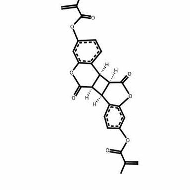 C=C(C)C(=O)Oc1ccc2c(c1)OC(=O)[C@H]1[C@@H]2[C@H]2C(=O)Oc3cc(OC(=O)C(=C)C)ccc3[C@H]21